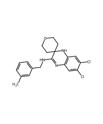 Cc1cccc(CNC2=Nc3cc(Cl)c(Cl)cc3NC23CCOCC3)c1